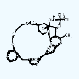 Cc1nc2cc3nn2c(c1[C@H](OC(C)(C)C)C(=O)O)N1CCC(C)(CC1)OCCCCOc1ccccc1Cc1cnc-3o1